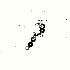 O=C(CCC(=O)N1CCC(c2ccc(Cl)cc2)CC1)c1ccc2c(c1)CN(C(=O)C(F)(F)F)CCC2